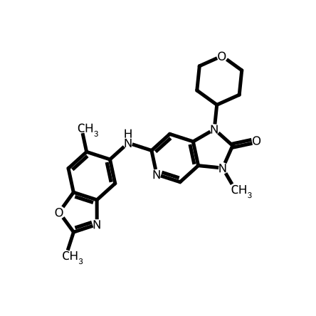 Cc1nc2cc(Nc3cc4c(cn3)n(C)c(=O)n4C3CCOCC3)c(C)cc2o1